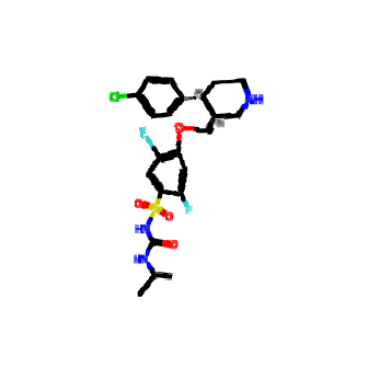 CC(C)NC(=O)NS(=O)(=O)c1cc(F)c(OC[C@@H]2CNCC[C@H]2c2ccc(Cl)cc2)cc1F